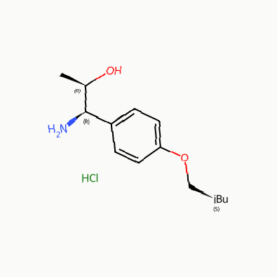 CC[C@H](C)COc1ccc([C@@H](N)[C@@H](C)O)cc1.Cl